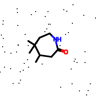 CC1CC(=O)NCCC1(C)C